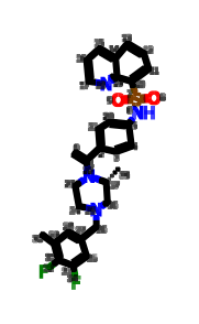 C=C(c1ccc(NS(=O)(=O)c2cccc3cccnc23)cc1)N1CCN(Cc2cc(C)c(F)c(F)c2)C[C@H]1C